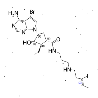 C/C=C(\I)CCNCCCNC(=O)[C@H]1C[C@@H](n2cc(Br)c3c(N)ncnc32)[C@H](O)[C@@H]1CC